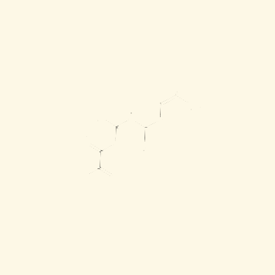 C=C(C)C(=O)OC(C)OC(C)O/C=C\C